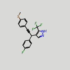 CSc1ccc(C#CC(c2ccc(F)cc2)c2cn[nH]c2C(F)(F)F)cc1